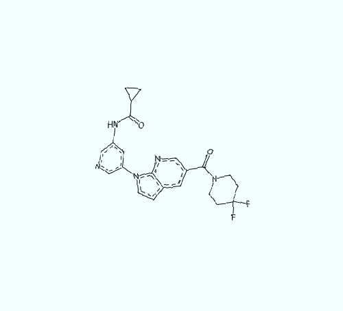 O=C(Nc1cncc(-n2ccc3cc(C(=O)N4CCC(F)(F)CC4)cnc32)c1)C1CC1